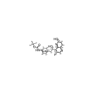 CC(C)(C)OC(=O)NC12CCC(CC(O)c3c(F)cnc4ccc(O)nc34)(CC1)SC2